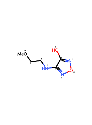 COCCNc1nonc1O